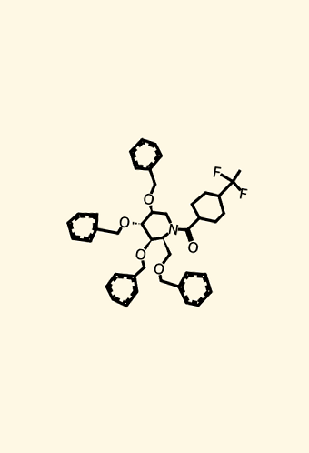 CC(F)(F)C1CCC(C(=O)N2C[C@H](OCc3ccccc3)[C@@H](OCc3ccccc3)[C@H](OCc3ccccc3)[C@@H]2COCc2ccccc2)CC1